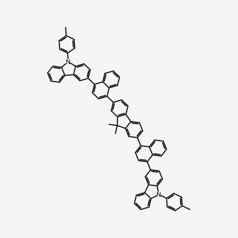 Cc1ccc(-n2c3ccccc3c3cc(-c4ccc(-c5ccc6c(c5)C(C)(C)c5cc(-c7ccc(-c8ccc9c(c8)c8ccccc8n9-c8ccc(C)cc8)c8ccccc78)ccc5-6)c5ccccc45)ccc32)cc1